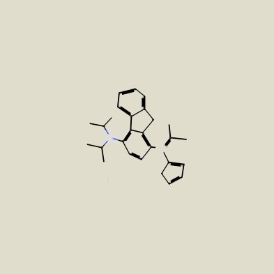 C[C](C)=[Zr+2]([C]1=CC=CC1)[c]1ccc(N(C(C)C)C(C)C)c2c1Cc1ccccc1-2.[Cl-].[Cl-]